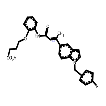 C/C(=C\C(=O)Nc1ccccc1OCCCC(=O)O)c1ccc2c(ccn2Cc2ccc(F)cc2)c1